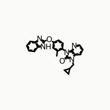 Cc1cc(Oc2nc3ccccc3[nH]2)ccc1-n1c(=O)n(CC2CC2)c2cccnc21